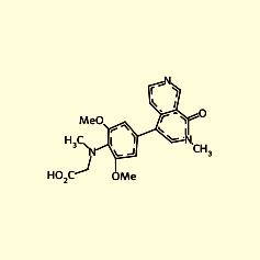 COc1cc(-c2cn(C)c(=O)c3cnccc23)cc(OC)c1N(C)CC(=O)O